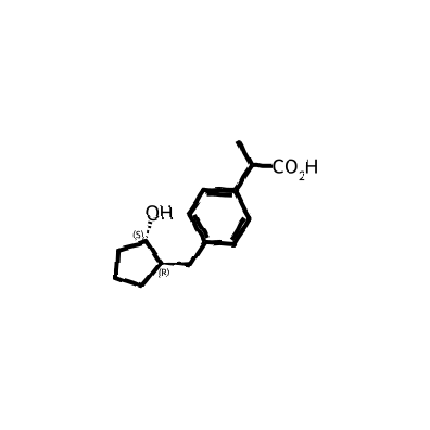 CC(C(=O)O)c1ccc(C[C@H]2CCC[C@@H]2O)cc1